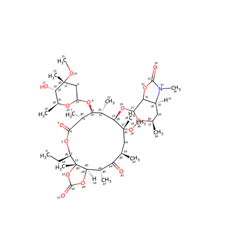 CC[C@H]1OC(=O)[C@H](C)[C@@H](OC2C[C@@](C)(OC)[C@@H](O)[C@H](C)O2)[C@H](C)[C@@H](OC2O[C@H](C)C[C@H]3C2OC(=O)N3C)[C@](C)(OC)C[C@@H](C)C(=O)[C@H](C)[C@H]2OC(=O)O[C@@]21C